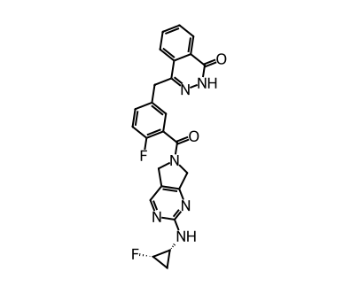 O=C(c1cc(Cc2n[nH]c(=O)c3ccccc23)ccc1F)N1Cc2cnc(N[C@@H]3C[C@@H]3F)nc2C1